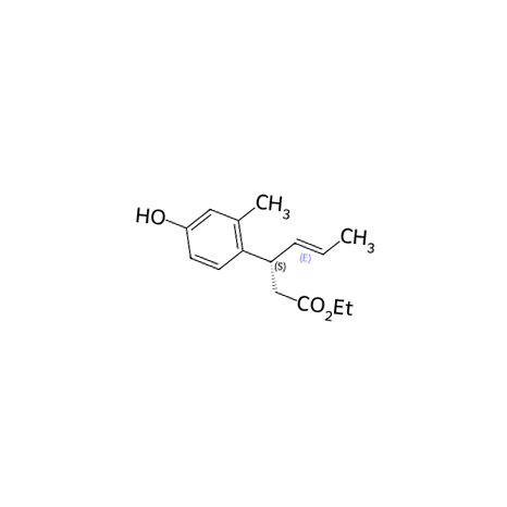 C/C=C/[C@H](CC(=O)OCC)c1ccc(O)cc1C